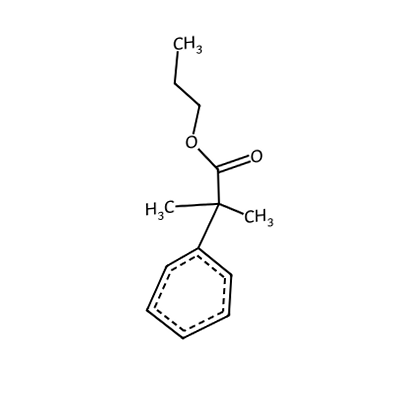 CCCOC(=O)C(C)(C)c1ccccc1